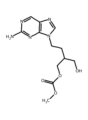 COC(=O)OCC(CO)CCn1cnc2cnc(N)nc21